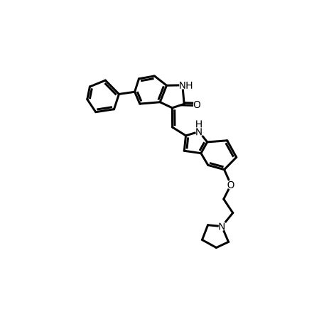 O=C1Nc2ccc(-c3ccccc3)cc2C1=Cc1cc2cc(OCCN3CCCC3)ccc2[nH]1